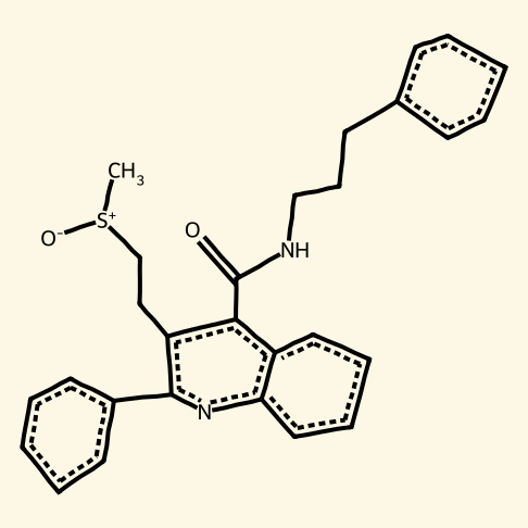 C[S+]([O-])CCc1c(-c2ccccc2)nc2ccccc2c1C(=O)NCCCc1ccccc1